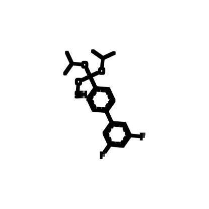 CC(C)OC(O[SiH3])(OC(C)C)c1ccc(-c2cc(F)cc(F)c2)cc1